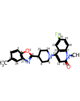 Cc1ccc2oc(C3CCN(c4cc(=O)n(C)c5ccc(F)cc45)CC3)nc2c1